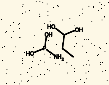 CCC(O)O.NP(O)O